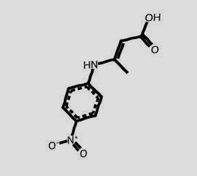 C/C(=C\C(=O)O)Nc1ccc([N+](=O)[O-])cc1